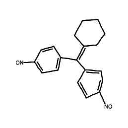 O=Nc1ccc(C(=C2CCCCC2)c2ccc(N=O)cc2)cc1